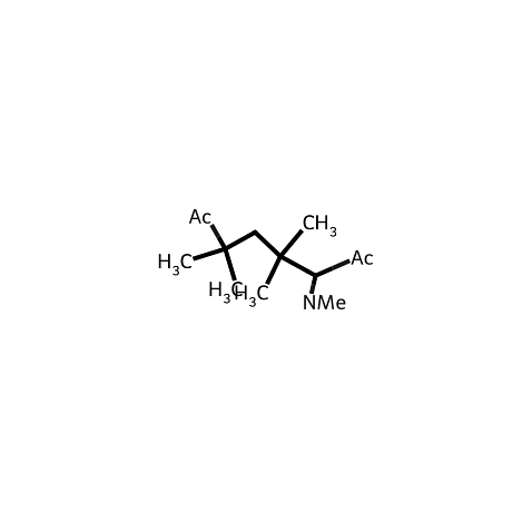 CNC(C(C)=O)C(C)(C)CC(C)(C)C(C)=O